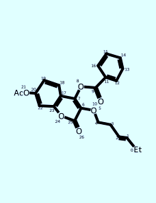 CCC=CCCOc1c(OC(=O)c2ccccc2)c2ccc(OC(C)=O)cc2oc1=O